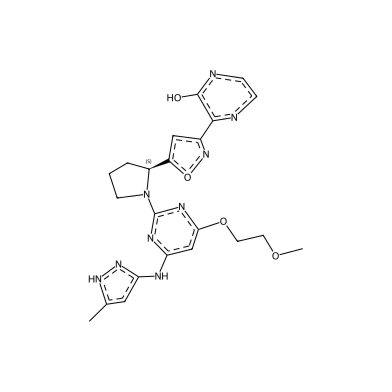 COCCOc1cc(Nc2cc(C)[nH]n2)nc(N2CCC[C@H]2c2cc(-c3nccnc3O)no2)n1